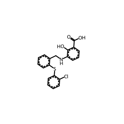 O=C(O)c1cccc(NCc2ccccc2Sc2ccccc2Cl)c1O